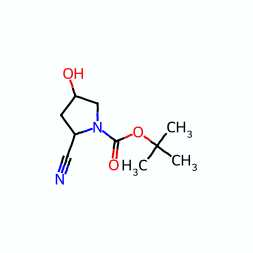 CC(C)(C)OC(=O)N1CC(O)CC1C#N